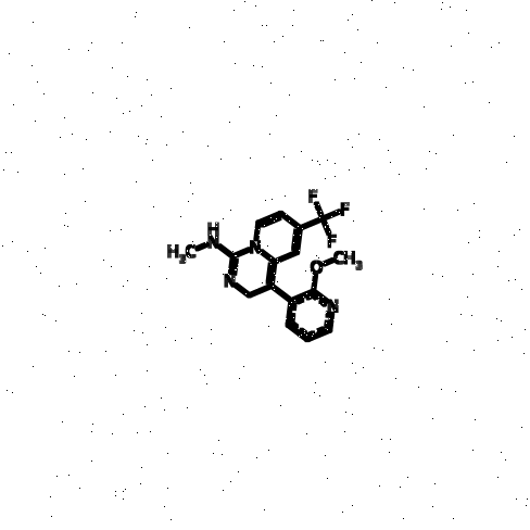 CNC1=NCC(c2cccnc2OC)=C2C=C(C(F)(F)F)C=CN12